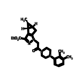 CCOC(=O)c1nn(CC(=O)N2CCN(c3cccc(C)c3C)CC2)c2c1[C@@H]1[C@H](C)[C@@H]1C2